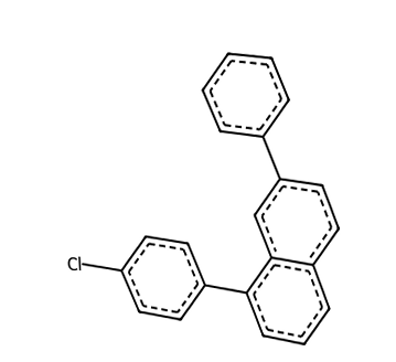 Clc1ccc(-c2cccc3ccc(-c4ccccc4)cc23)cc1